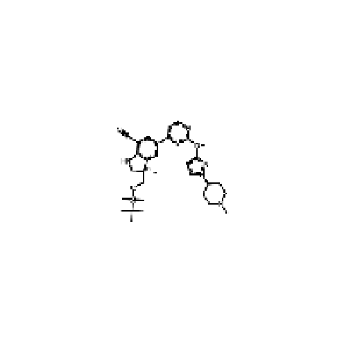 CN1CCC(n2ccc(Nc3nccc(-c4cc(C#N)c5c(c4)[C@@](C)(CO[Si](C)(C)C(C)(C)C)CN5)n3)n2)CC1